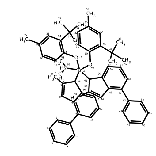 CC1=Cc2c(-c3ccccc3)cccc2[CH]1[Zr]([O]c1ccc(C)cc1C(C)(C)C)([O]c1ccc(C)cc1C(C)(C)C)([CH]1C(C)=Cc2c(-c3ccccc3)cccc21)[SiH](C)C